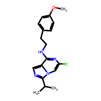 COc1ccc(CCNc2nc(Cl)cn3c(C(C)C)ncc23)cc1